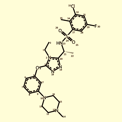 CCn1c(Oc2cccc(N3CCN(C)CC3)c2)nnc1[C@@H](C)NS(=O)(=O)c1cc(F)cc(Cl)c1C